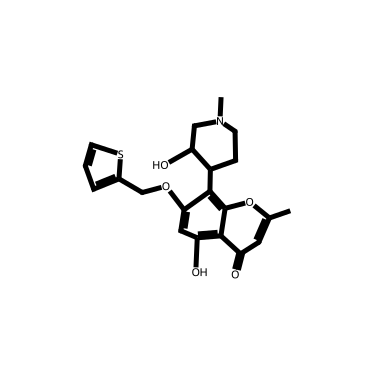 Cc1cc(=O)c2c(O)cc(OCc3cccs3)c(C3CCN(C)CC3O)c2o1